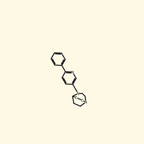 c1ccc(-c2ccc(N3CCN4CCC3CC4)cn2)cc1